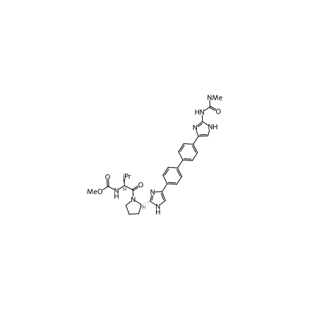 CNC(=O)Nc1nc(-c2ccc(-c3ccc(-c4c[nH]c([C@@H]5CCCN5C(=O)[C@@H](NC(=O)OC)C(C)C)n4)cc3)cc2)c[nH]1